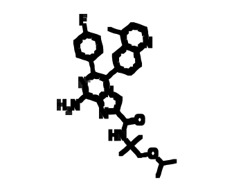 Cc1ccnc2ccc(-c3c(-c4ccc(F)cc4)nc(N)c4nc(C(=O)NC(C)(C)COC(C)C)cn34)cc12